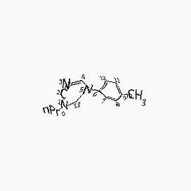 CCCN1CN=CN(c2ccc(C)cc2)C1